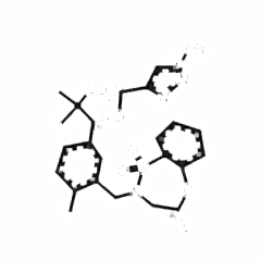 CCCn1cc(CO[C@H](c2ccc(C)c(CN3C[C@@H](C)Oc4ccccc4S3(=O)=O)c2)C(C)(C)C(=O)O)nn1